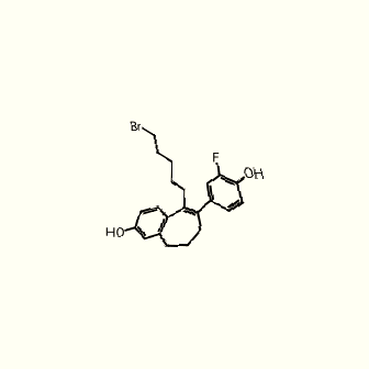 Oc1ccc2c(c1)CCCC(c1ccc(O)c(F)c1)=C2CCCCCBr